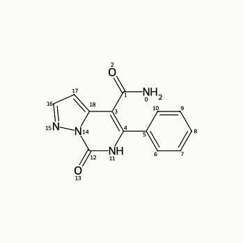 NC(=O)c1c(-c2ccccc2)[nH]c(=O)n2nccc12